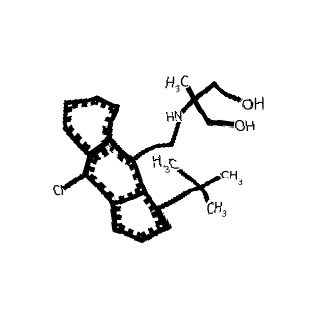 CC(CO)(CO)NCc1c2ccccc2c(Cl)c2cccc(C(C)(C)C)c12